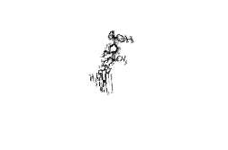 C[C@@H]1CN(C(=O)OC(C)(C)C)CCN1c1ccc(C(=O)O)cn1